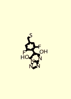 Oc1nc2ncnn2c(O)c1-c1c(F)cc(C=S)cc1F